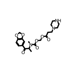 CC(C(=O)c1ccc2c(c1)OCO2)N(C)C(=O)OCOC(=O)CCN1CCNCC1